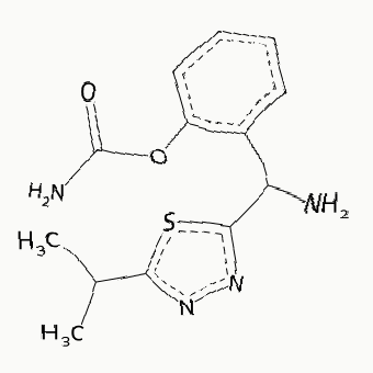 CC(C)c1nnc(C(N)c2ccccc2OC(N)=O)s1